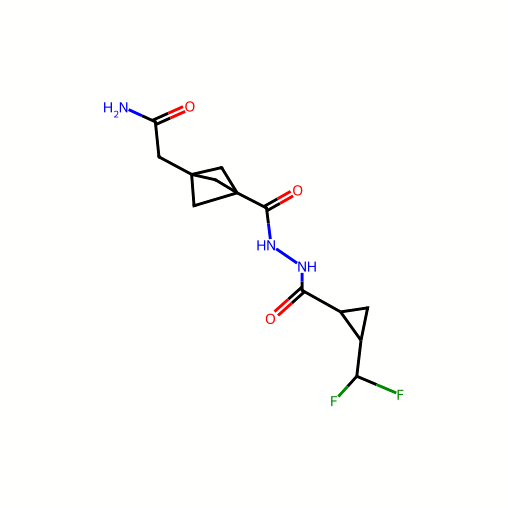 NC(=O)CC12CC(C(=O)NNC(=O)C3CC3C(F)F)(C1)C2